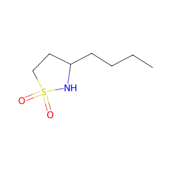 CCCCC1CCS(=O)(=O)N1